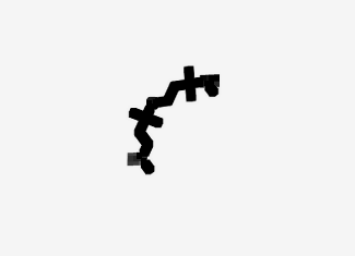 CNCCC(C)(C)OCCC(C)(C)NC